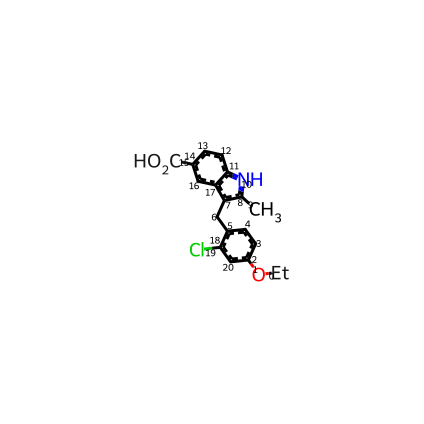 CCOc1ccc(Cc2c(C)[nH]c3ccc(C(=O)O)cc23)c(Cl)c1